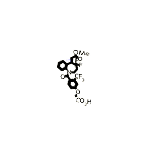 COC(=O)/C=C1/c2ccccc2N(C(=O)c2ccc(OCC(=O)O)cc2C(F)(F)F)CCC1(F)F